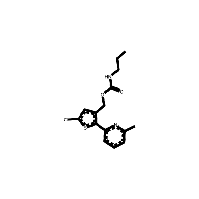 CCCNC(=O)OCc1cc(Cl)sc1-c1cccc(C)n1